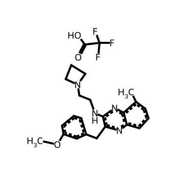 COc1cccc(Cc2nc3cccc(C)c3nc2NCCN2CCC2)c1.O=C(O)C(F)(F)F